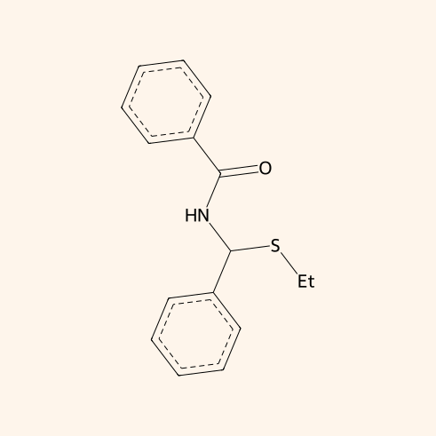 CCSC(NC(=O)c1ccccc1)c1ccccc1